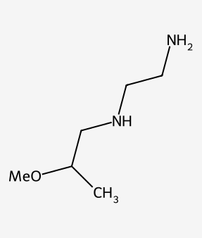 COC(C)CNCCN